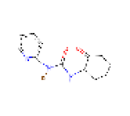 O=C1CCCCC1NC(=O)N(S)c1ccccn1